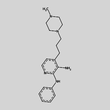 CN1CCN(CCCc2ccnc(Nc3ccccc3)c2N)CC1